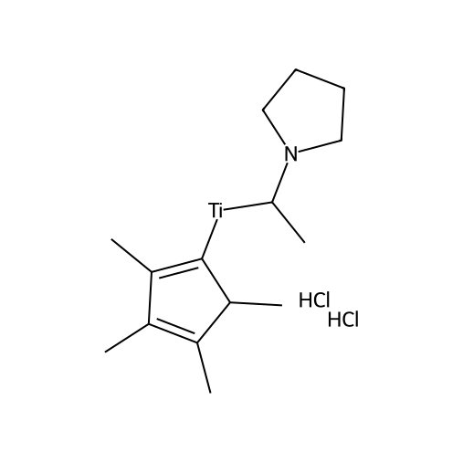 CC1=C(C)C(C)[C]([Ti][CH](C)N2CCCC2)=C1C.Cl.Cl